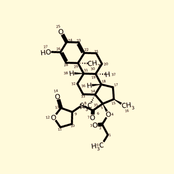 CCC(=O)O[C@]1(C(=O)SC2CCOC2=O)[C@H](C)C[C@H]2[C@@H]3CCC4=CC(=O)C(O)=C[C@]4(C)[C@H]3CC[C@@]21C